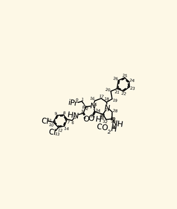 CC(C)C[C@H](C(=O)NCc1ccc(Cl)c(Cl)c1)N1CCC(CCc2ccccc2)N2C[C@H](NC(=O)O)C[C@H]2C1=O